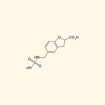 CCCS(=O)(=O)NCc1ccc2c(c1)CC(C(=O)O)O2